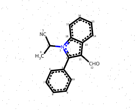 CC(C#N)n1c(-c2ccccc2)c(C=O)c2ccccc21